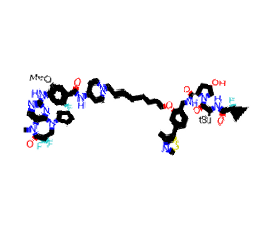 COc1cc(C(=O)NC2CCN(CCCCCCCCOc3cc(-c4scnc4C)ccc3CNC(=O)[C@@H]3C[C@@H](O)CN3C(=O)[C@@H](NC(=O)C3(F)CC3)C(C)(C)C)CC2)c(F)cc1Nc1ncc2c(n1)N(C1CCCC1)CC(F)(F)C(=O)N2C